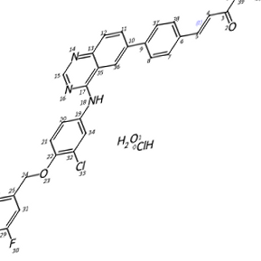 Cl.O.O=C(/C=C/c1ccc(-c2ccc3ncnc(Nc4ccc(OCc5cccc(F)c5)c(Cl)c4)c3c2)cc1)NO